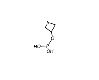 OP(O)OC1CSC1